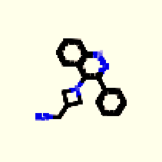 NCC1CN(c2c(-c3ccccc3)nnc3ccccc23)C1